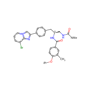 CNC(=O)NC[C@H](Cc1ccc(-c2cn3cccc(Br)c3n2)cc1)NC(=O)c1ccc(OC(C)C)c(C)c1